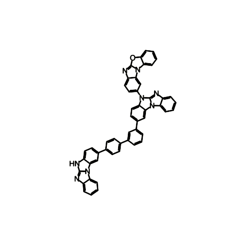 c1cc(-c2ccc(-c3ccc4[nH]c5nc6ccccc6n5c4c3)cc2)cc(-c2ccc3c(c2)n2c4ccccc4nc2n3-c2ccc3nc4oc5ccccc5n4c3c2)c1